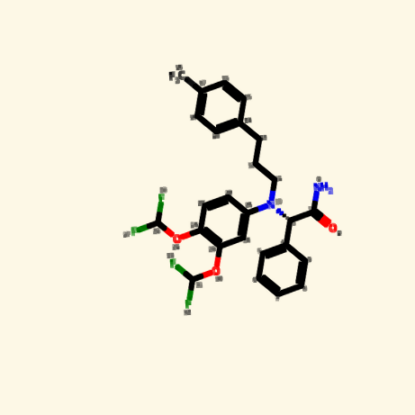 NC(=O)[C@H](c1ccccc1)N(CCCc1ccc(C(F)(F)F)cc1)c1ccc(OC(F)F)c(OC(F)F)c1